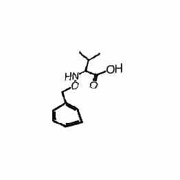 CC(C)[C@H](NOCc1ccccc1)C(=O)O